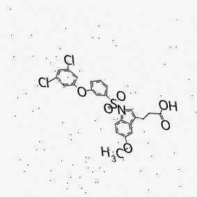 COc1ccc2c(c1)c(CCC(=O)O)cn2S(=O)(=O)c1cccc(Oc2cc(Cl)cc(Cl)c2)c1